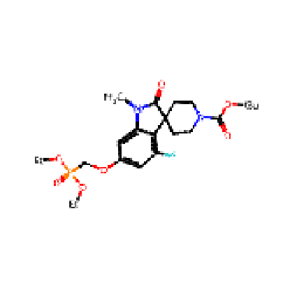 CCOP(=O)(COc1cc(F)c2c(c1)N(C)C(=O)C21CCN(C(=O)OC(C)(C)C)CC1)OCC